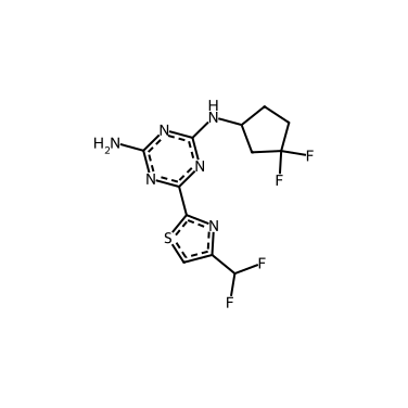 Nc1nc(NC2CCC(F)(F)C2)nc(-c2nc(C(F)F)cs2)n1